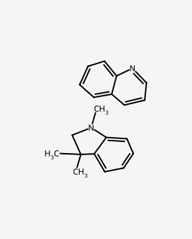 CN1CC(C)(C)c2ccccc21.c1ccc2ncccc2c1